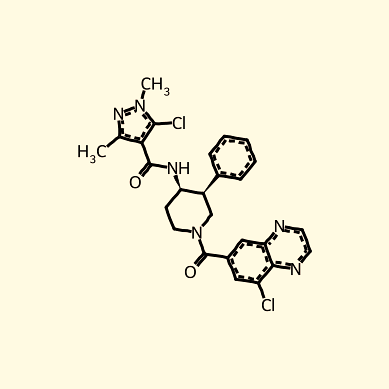 Cc1nn(C)c(Cl)c1C(=O)N[C@@H]1CCN(C(=O)c2cc(Cl)c3nccnc3c2)C[C@@H]1c1ccccc1